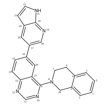 c1ccc2c(c1)CCN(c1ncnc3ccc(-c4cnc5[nH]ccc5c4)cc13)C2